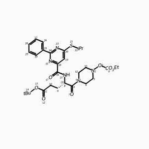 CCOC(=O)ON1CCN(C(=O)[C@H](CCC(=O)OC(C)(C)C)NC(=O)c2cc(SC(C)C)nc(-c3ccccc3)n2)CC1